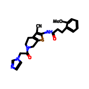 COc1ccccc1CCC(=O)Nc1sc2c(c1C#N)CCN(C(=O)Cn1ccnc1)C2